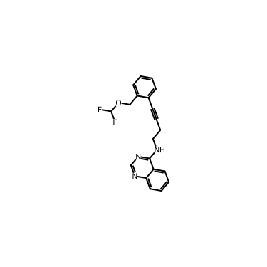 FC(F)OCc1ccccc1C#CCCNc1ncnc2ccccc12